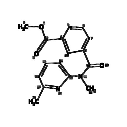 COC(=O)c1cccc(C(=O)N(C)c2cccc(C)n2)c1